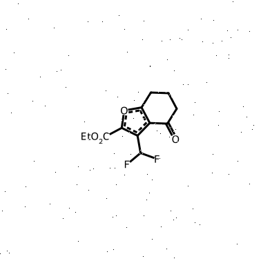 CCOC(=O)c1oc2c(c1C(F)F)C(=O)CCC2